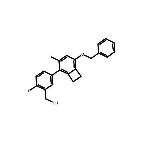 Cc1cc(OCc2ccccc2)c2c(c1-c1ccc(F)c(CO)c1)CC2